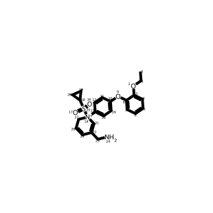 CCOc1ccccc1Oc1ccc([N+]2(S(=O)(=O)C3CC3)C=C(CN)C=CC2)cc1